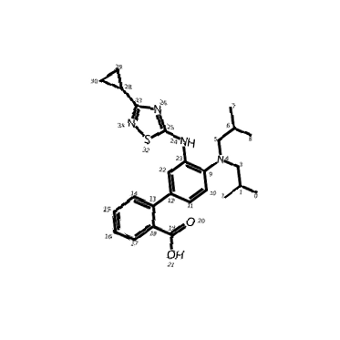 CC(C)CN(CC(C)C)c1ccc(-c2ccccc2C(=O)O)cc1Nc1nc(C2CC2)ns1